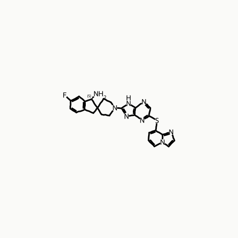 N[C@@H]1c2cc(F)ccc2CC12CCN(c1nc3nc(Sc4cccn5ccnc45)cnc3[nH]1)CC2